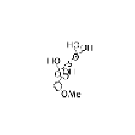 COc1cccc(C(=O)OC(CO)C(O)CSCOC(CO)CO)c1